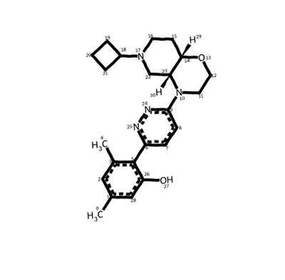 Cc1cc(C)c(-c2ccc(N3CCO[C@H]4CCN(C5CCC5)C[C@H]43)nn2)c(O)c1